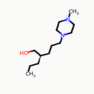 CCC[C@@H](CO)CCCN1CCN(C)CC1